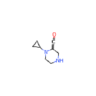 O=C=C1CNCCN1C1CC1